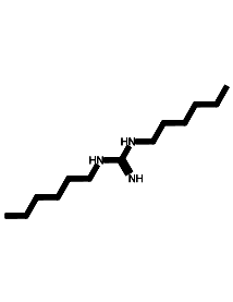 CCCCCCNC(=N)NCCCCCC